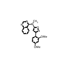 COc1ccc(-c2cc(N(C)c3ncnc4ccccc34)on2)c(OC)c1